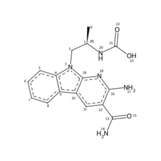 C[C@H](Cn1c2ccccc2c2cc(C(N)=O)c(N)nc21)NC(=O)O